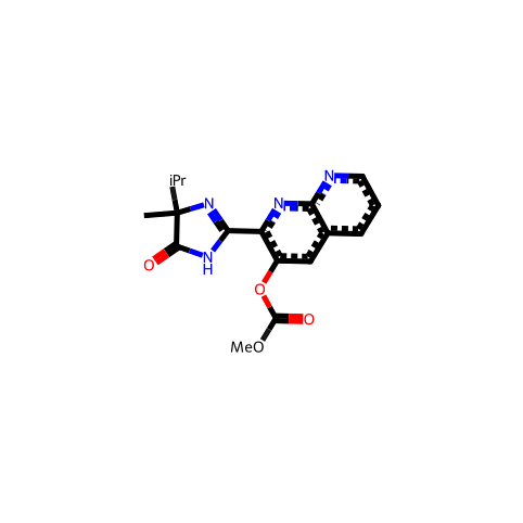 COC(=O)Oc1cc2cccnc2nc1C1=NC(C)(C(C)C)C(=O)N1